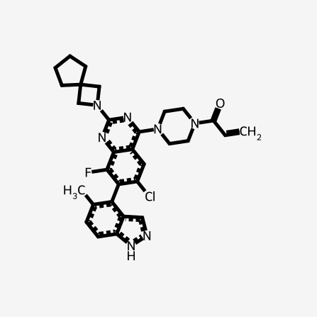 C=CC(=O)N1CCN(c2nc(N3CC4(CCCC4)C3)nc3c(F)c(-c4c(C)ccc5[nH]ncc45)c(Cl)cc23)CC1